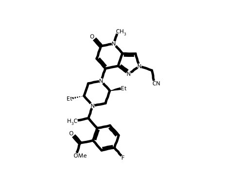 CC[C@H]1CN(C(C)c2ccc(F)cc2C(=O)OC)[C@H](CC)CN1c1cc(=O)n(C)c2cn(CC#N)nc12